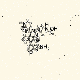 C[C@H](O)CN[C@H]1CCN(c2nc(N[C@@H]3CCCN(C)C3=O)c3c4c(c(-c5ccc(F)c6sc(N)c(C#N)c56)c(Cl)c3n2)COC4)[C@H]1C